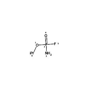 CC(C)OP(N)(=O)F